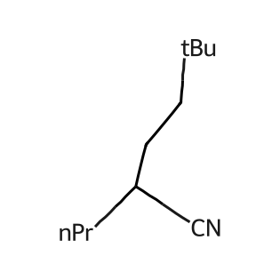 CCCC(C#N)CCC(C)(C)C